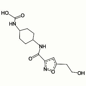 O=C(O)NC1CCC(NC(=O)c2cc(CCO)on2)CC1